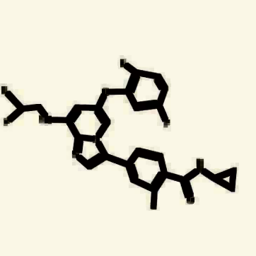 Cc1cc(-c2cnc3c(NCC(F)F)cc(Oc4cc(F)ccc4F)cn23)ccc1C(=O)NC1CC1